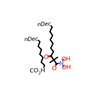 CCCCCCCCCCCCCCCCCC(=O)C(C)(C)C(=O)N(O)O.CCCCCCCCCCCCCCCCCC(=O)O